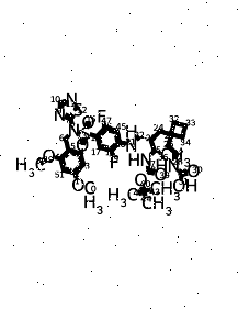 COc1ccc(CN(c2ncns2)S(=O)(=O)c2cc(F)c(NC[C@H](CC3(CCNC(=O)O)CCC3)[C@@H](C)NC(=O)OC(C)(C)C)cc2F)c(OC)c1